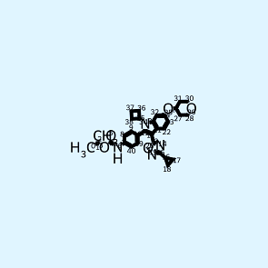 CC(C)OC(=O)Nc1ccc(-c2c(-c3nc(C4CC4)no3)c3ccc(OC4CCOCC4)cc3n2C2CCC2)cc1